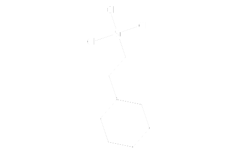 Cl[Si](Cl)(Cl)CC[C]1CCCCC1